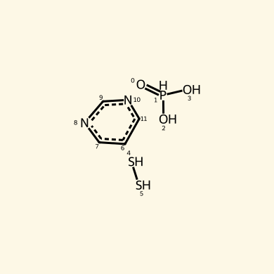 O=[PH](O)O.SS.c1cncnc1